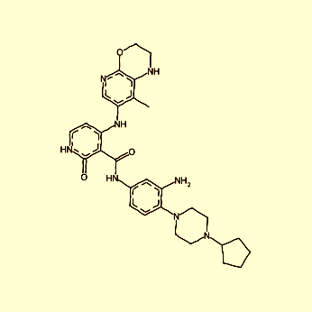 Cc1c(Nc2cc[nH]c(=O)c2C(=O)Nc2ccc(N3CCN(C4CCCC4)CC3)c(N)c2)cnc2c1NCCO2